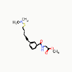 COC(=O)CNC(=O)c1cccc(C#CCCCSN(C)C)c1